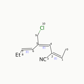 C\C=C(C#N)/C=C(\C=C\CC)CCl